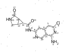 Nc1nc(Cl)cc2cc(NC(=O)C3C4CNC(=O)C43)ncc12